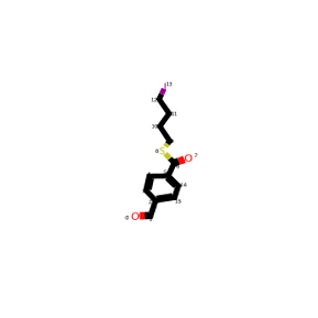 O=Cc1ccc(C(=O)SCCCCI)cc1